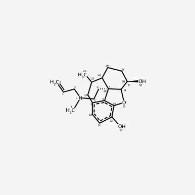 C=CCN(C)CC[C@@]12c3c4ccc(O)c3OC1[C@H](O)CCC2C(C)C4